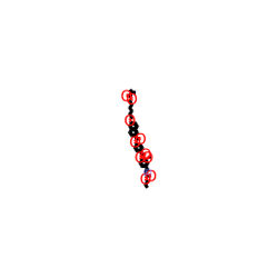 C=C(C)C(=O)OCCCCCCOc1ccc2cc(C(=O)Oc3ccc(C(=O)Oc4ccc(/C=C/C(=O)OCCC)cc4OC)cc3)ccc2c1